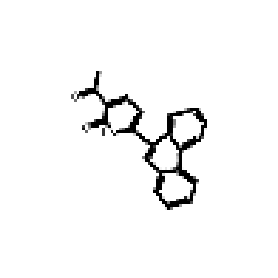 CC(=O)c1ccc(-c2cc3ccccc3c3ccccc23)[nH]c1=O